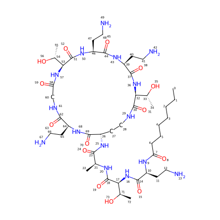 CCCCCCCC(=O)N[C@@H](CCN)C(=O)N[C@H](C(=O)N[C@@H](C)C(=O)N[C@H]1CCNC(=O)[C@H]([C@@H](C)O)NC(=O)[C@H](CCN)NC(=O)[C@H](CCN)NC(=O)[C@H]([C@@H](C)O)NC(=O)CNC(=O)[C@H](CCN)NC1=O)[C@@H](C)O